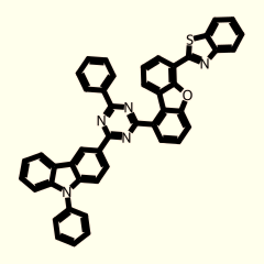 c1ccc(-c2nc(-c3ccc4c(c3)c3ccccc3n4-c3ccccc3)nc(-c3cccc4oc5c(-c6nc7ccccc7s6)cccc5c34)n2)cc1